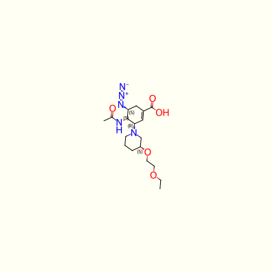 CCOCCO[C@H]1CCCN([C@@H]2C=C(C(=O)O)C[C@H](N=[N+]=[N-])[C@H]2NC(C)=O)C1